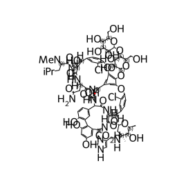 CN[C@H](CC(C)C)C(=O)N[C@H]1C(=O)N[C@@H](CC(N)=O)C(=O)N[C@H]2C(=O)NC3C(=O)N[C@H](C(=O)N[C@@H](C(=O)O)c4cc(O)cc(O)c4-c4cc3ccc4O)[C@H](OC3C[C@](C)(NCc4c[nH]cn4)[C@@H](O)[C@H](C)O3)c3ccc(c(Cl)c3)Oc3cc2cc(c3O[C@@H]2O[C@H](CO)[C@@H](OC3O[C@H](CO)[C@H](O)[C@H](O)[C@H]3O)[C@H](O)[C@H]2O)Oc2ccc(cc2Cl)[C@H]1O